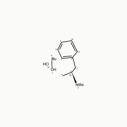 CCC(C)O.CN[C@@H](C)Cc1ccccc1.Cl